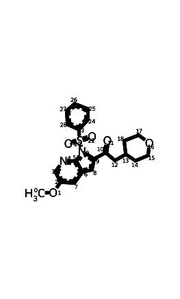 COc1cnc2c(c1)cc(C(=O)CC1CCOCC1)n2S(=O)(=O)c1ccccc1